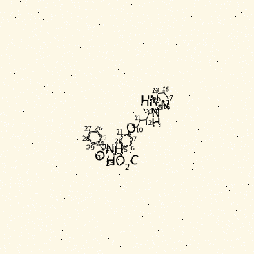 O=C(NC(Cc1ccc(OCCCCNC2=NCCCN2)cc1)C(=O)O)c1ccccc1